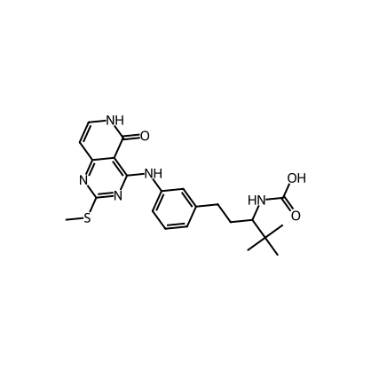 CSc1nc(Nc2cccc(CCC(NC(=O)O)C(C)(C)C)c2)c2c(=O)[nH]ccc2n1